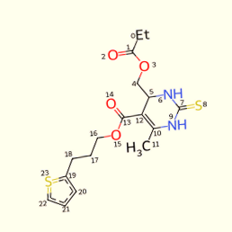 CCC(=O)OCC1NC(=S)NC(C)=C1C(=O)OCCCc1cccs1